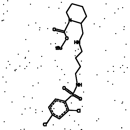 CC(C)(C)OC(=O)N1CCCCC1CNCCCCNS(=O)(=O)c1ccc(Cl)cc1Cl